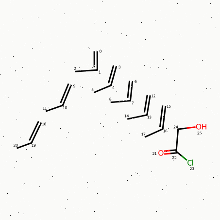 C=CC.C=CC.C=CC.C=CC.C=CC.C=CC.C=CC.O=C(Cl)CO